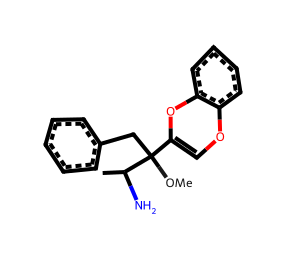 COC(Cc1ccccc1)(C1=COc2ccccc2O1)C(C)N